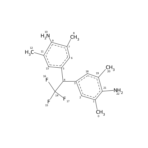 Cc1cc(C(c2cc(C)c(N)c(C)c2)C(F)(F)F)cc(C)c1N